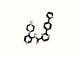 O=C(Nc1cnccc1N1CCNCC1)c1ccnc(-c2ccc(-c3cccs3)cc2)n1